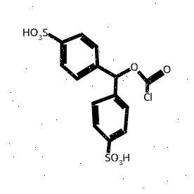 O=C(Cl)OC(c1ccc(S(=O)(=O)O)cc1)c1ccc(S(=O)(=O)O)cc1